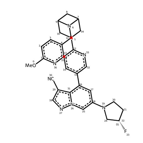 COc1ccc(CN2C3CC2CN(c2ccc(-c4cc(N5CC[C@H](F)C5)cn5ncc(C#N)c45)cn2)C3)cn1